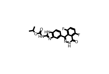 CC(C)OC(=O)Nc1nc2cc(-c3n[nH]c(=O)c4c(F)ccc(F)c34)ccc2[nH]1